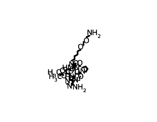 CC(C)(C)OC(=O)N1CCC[C@H]1C(=O)NS(=O)(=O)N(CCCCCCOCCOCCN)C[C@H]1O[C@@H](n2cnc3c(N)ncnc32)[C@@H]2OC(C)(C)O[C@@H]21